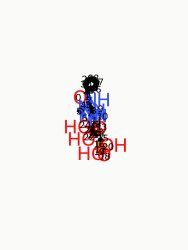 O=C(Nc1ncnc2c1nnn2[C@@H]1O[C@H](/C=C/P(=O)(O)O)[C@@H](O)[C@H]1O)c1ccccc1